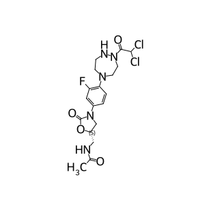 CC(=O)NC[C@H]1CN(c2ccc(N3CCNN(C(=O)C(Cl)Cl)CC3)c(F)c2)C(=O)O1